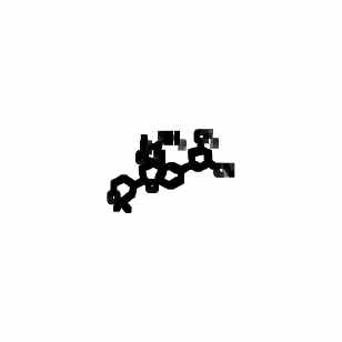 CN1OC2(CC(C3CCOC(C)(C)C3)Oc3ccc(-c4cc(C#N)cc(C(F)(F)F)c4)cc32)N=C1N